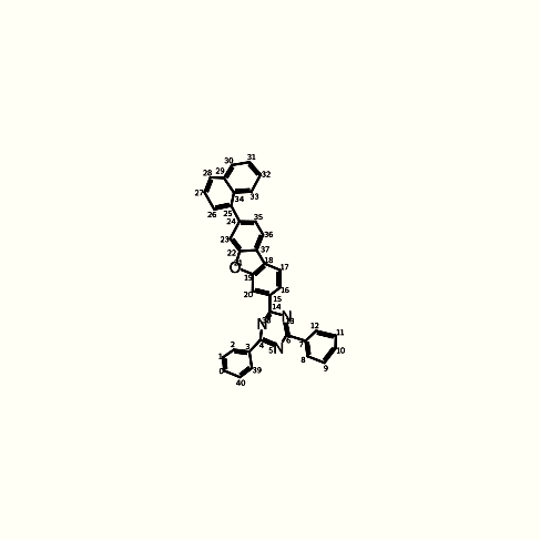 c1ccc(-c2nc(-c3ccccc3)nc(-c3ccc4c(c3)oc3cc(-c5cccc6ccccc56)ccc34)n2)cc1